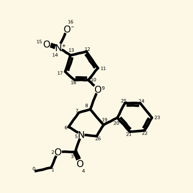 CCOC(=O)N1CCC(Oc2ccc([N+](=O)[O-])cc2)C(c2ccccc2)C1